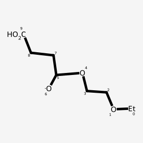 CCOCCOC([O])CCC(=O)O